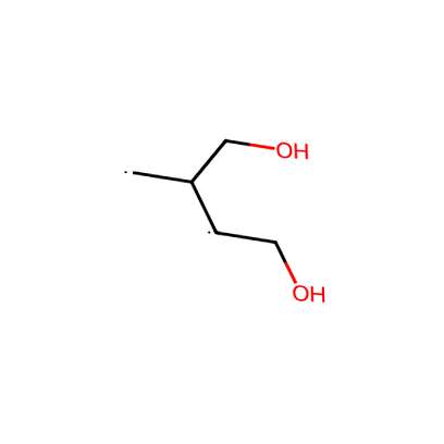 [CH2]C([CH]CO)CO